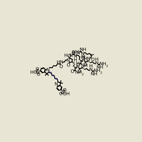 C[C@H](CCCNC(=N)N)C(=O)N[C@H](CCCNC(=N)N)C(=O)N[C@H](CCCNC(=N)N)C(=O)N[C@H](CCCNC(=N)N)C(=O)N[C@H](CSC1CC(=O)N(CCNC(=O)CCCCCN2/C(=C/C=C/C=C/C3=Nc4ccc(S(=O)(=O)O)cc4C3(C)C)C(C)(C)c3cc(S(=O)(=O)O)ccc32)C1=O)C(N)=O